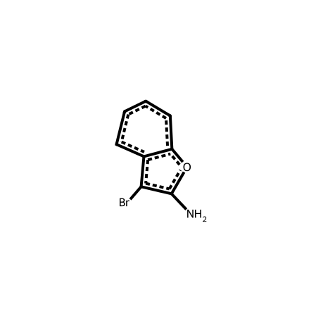 Nc1oc2ccccc2c1Br